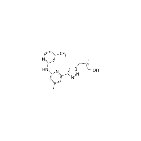 Cc1cc(Nc2cc(C(F)(F)F)ccn2)nc(-c2cn(C[C@H](C)CO)nn2)c1